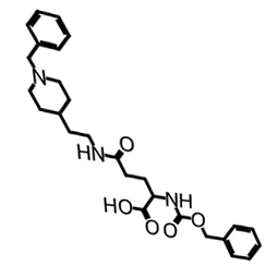 O=C(CCC(NC(=O)OCc1ccccc1)C(=O)O)NCCC1CCN(Cc2ccccc2)CC1